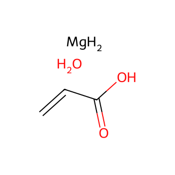 C=CC(=O)O.O.[MgH2]